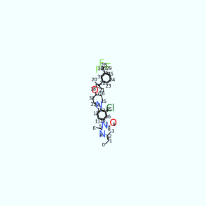 C/C=C(C)\N=C(\C)N(C=O)c1ccc(N2CCC(OC(C)(C)c3cccc(C(F)(F)F)c3)CC2)c(Cl)c1